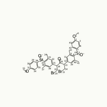 COc1ccc([S+]([O-])c2c(C)cc(C(CBr)C(=O)C(CBr)c3cc(C)c([S+]([O-])c4ccc(OC)cc4)c(C)c3)cc2C)cc1